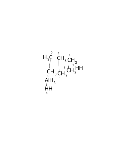 CC.CC.CC.[AlH3].[HH].[HH]